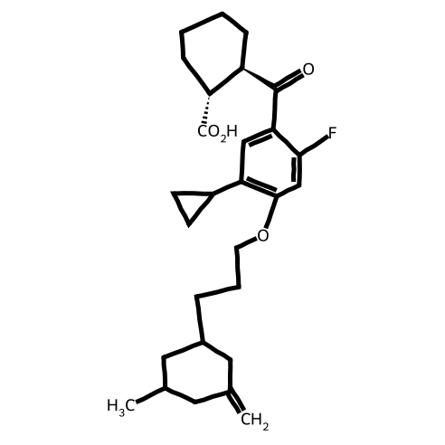 C=C1CC(C)CC(CCCOc2cc(F)c(C(=O)[C@@H]3CCCC[C@H]3C(=O)O)cc2C2CC2)C1